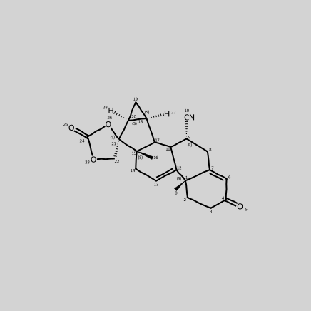 C[C@]12CCC(=O)C=C1C[C@@H](C#N)C1C2=CC[C@@]2(C)C1[C@@H]1C[C@@H]1[C@@]21COC(=O)O1